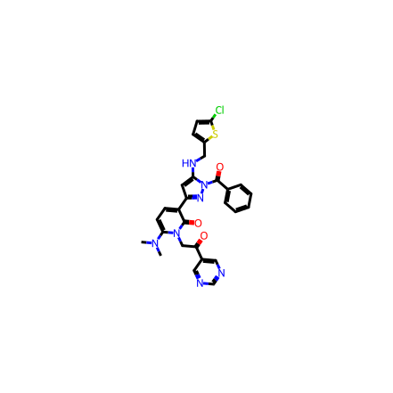 CN(C)c1ccc(-c2cc(NCc3ccc(Cl)s3)n(C(=O)c3ccccc3)n2)c(=O)n1CC(=O)c1cncnc1